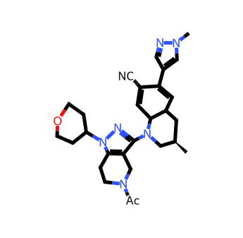 CC(=O)N1CCc2c(c(N3C[C@H](C)CC4C=C(c5cnn(C)c5)C(C#N)=CC43)nn2C2CCOCC2)C1